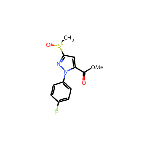 COC(=O)c1cc([S+](C)[O-])nn1-c1ccc(F)cc1